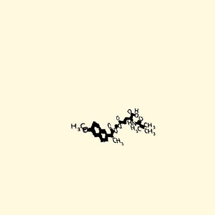 COc1ccc2cc(C(C)C(=O)OCOC(=O)CCC(NC(=O)C(C)(C)C)C(=O)O)ccc2c1